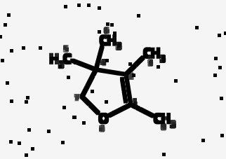 CC1=C(C)C(C)(C)CO1